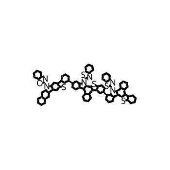 c1ccc2cc3c(cc2c1)c1cc2sc4c(-c5ccc6c7c8ccccc8c8c9cc(-c%10cccc%11c%12c%13sc%14ccccc%14c%13c%13ccccc%13c%12n(-c%12nc%13ccccc%13s%12)c%10%11)ccc9sc8c7n(-c7nc8ccccc8s7)c6c5)cccc4c2cc1n3-c1nc2ccccc2o1